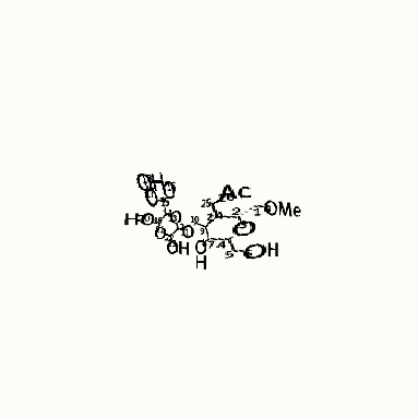 COC[C@@H]1OC(CO)[C@@H](O)C(CO[C@@H]2OC(C(=O)OO)[C@@H](O)OC2O)C1CC(C)=O